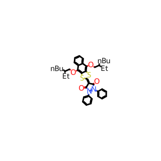 CCCCC(CC)COc1c2c(c(OCC(CC)CCCC)c3ccccc13)SC(=C1C(=O)N(c3ccccc3)N(c3ccccc3)C1=O)S2